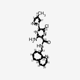 Cc1cnn(-c2nc(N)c(C(=O)NCc3cccc4cccnc34)nc2Cl)c1